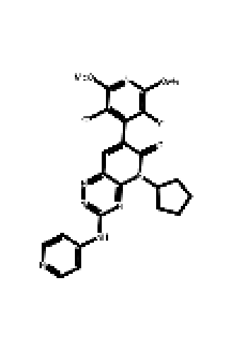 COc1nc(OC)c(Cl)c(-c2cc3nnc(Nc4ccncc4)nc3n(C3CCCC3)c2=O)c1Cl